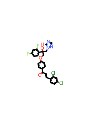 O=C(C=Cc1ccc(Cl)cc1Cl)c1ccc(OCC(O)(Cn2cncn2)c2ccc(F)cc2F)cc1